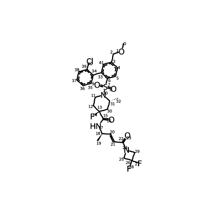 COCc1ccc(S(=O)(=O)N2CC[C@@](F)(C(=O)N[C@H](C)/C=C/C(=O)N3CC(F)(F)C3)C[C@H]2C)c(-c2ccccc2Cl)c1